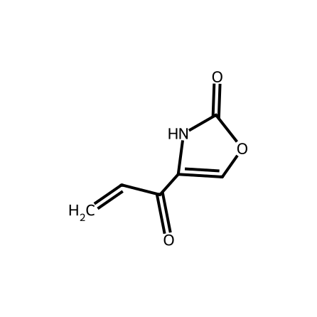 C=CC(=O)c1coc(=O)[nH]1